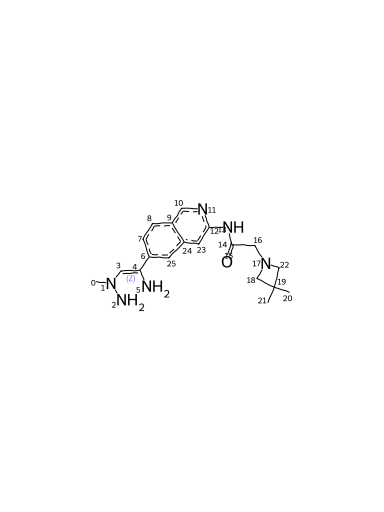 CN(N)/C=C(\N)c1ccc2cnc(NC(=O)CN3CC(C)(C)C3)cc2c1